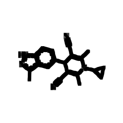 CC1=C(C#N)C(c2ccc3[nH]nc(C)c3c2)C(C#N)=C(C)N1C1CC1